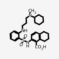 CN(CCCNc1ccccc1S(=O)(=O)Nc1ccc2c(c1C(=O)O)CCCC2)C1CCCCC1